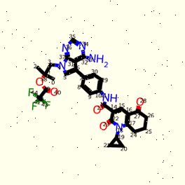 CC(C)(Cn1cc(-c2ccc(NC(=O)c3cc4c(n(C5CC5)c3=O)CCCC4=O)cc2)c2c(N)ncnc21)OC(=O)C(F)(F)F